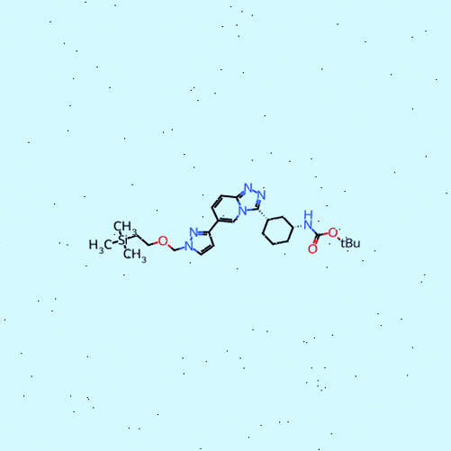 CC(C)(C)OC(=O)N[C@@H]1CCC[C@H](c2nnc3ccc(-c4ccn(COCC[Si](C)(C)C)n4)cn23)C1